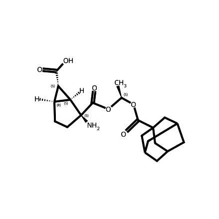 C[C@@H](OC(=O)C12CC3CC(CC(C3)C1)C2)OC(=O)[C@]1(N)CC[C@H]2[C@H](C(=O)O)[C@H]21